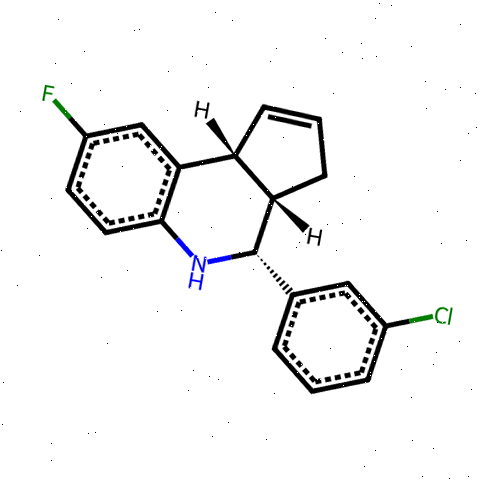 Fc1ccc2c(c1)[C@@H]1C=CC[C@@H]1[C@H](c1cccc(Cl)c1)N2